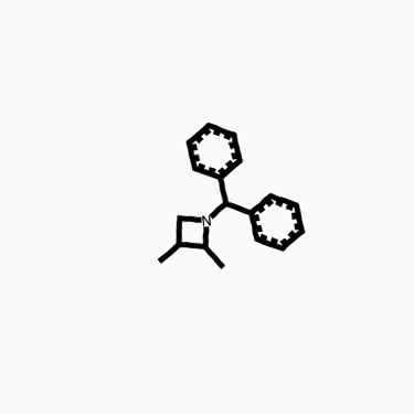 CC1CN(C(c2ccccc2)c2ccccc2)C1C